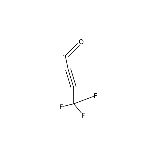 O=[C]C#CC(F)(F)F